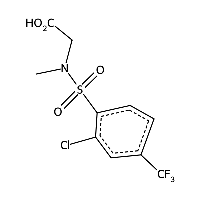 CN(CC(=O)O)S(=O)(=O)c1ccc(C(F)(F)F)cc1Cl